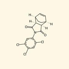 O=C1[C@@H]2[C@H](C(=O)N1c1cc(Cl)c(Cl)cc1Cl)[C@@H]1C=C[C@H]2CC1